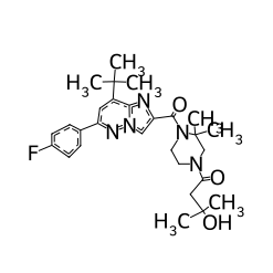 CC(C)(O)CC(=O)N1CCN(C(=O)c2cn3nc(-c4ccc(F)cc4)cc(C(C)(C)C)c3n2)C(C)(C)C1